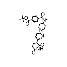 CN(C(=O)c1ccc(C(=O)OC(C)(C)C)cc1)C1CCN(c2ccc(C3CCC(=O)NC3=O)cn2)CC1